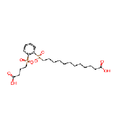 O=C(O)CCCCCCCCCCCS(=O)(=O)c1ccccc1S(=O)(=O)CCCC(=O)O